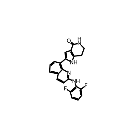 O=C1NCCc2[nH]c(-c3cccc4ccc(Nc5c(F)cccc5F)nc34)cc21